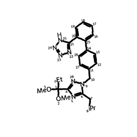 CCC(OC)(OC)c1nc(CC(C)C)n(Cc2ccc(-c3ccccc3-c3nnn[nH]3)cc2)n1